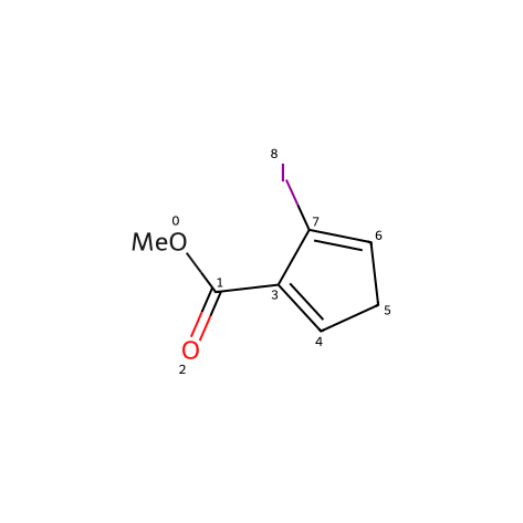 COC(=O)C1=CCC=C1I